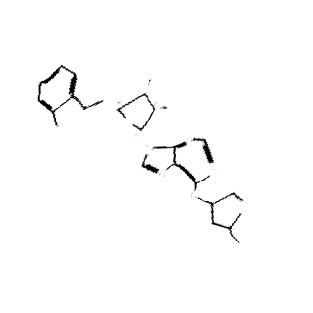 O[C@@H]1[C@H](O)[C@@H](CCc2ccccc2F)O[C@H]1n1cnc2c(NC3COC(F)C3)ncnc21